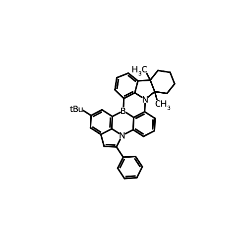 CC(C)(C)c1cc2c3c(c1)cc(-c1ccccc1)n3-c1cccc3c1B2c1cccc2c1N3C1(C)CCCCC21C